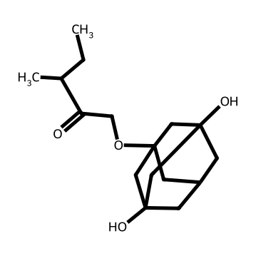 CCC(C)C(=O)COC12CC3CC(O)(CC(O)(C3)C1)C2